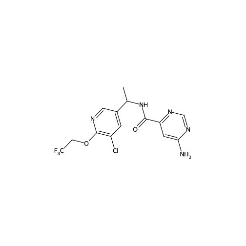 CC(NC(=O)c1cc(N)ncn1)c1cnc(OCC(F)(F)F)c(Cl)c1